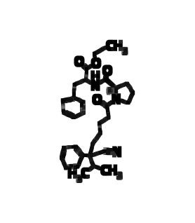 CCOC(=O)C(Cc1ccccc1)NC(=O)[C@H]1CCCN1C(=O)CCCCC(C#N)(c1ccccc1)C(C)C